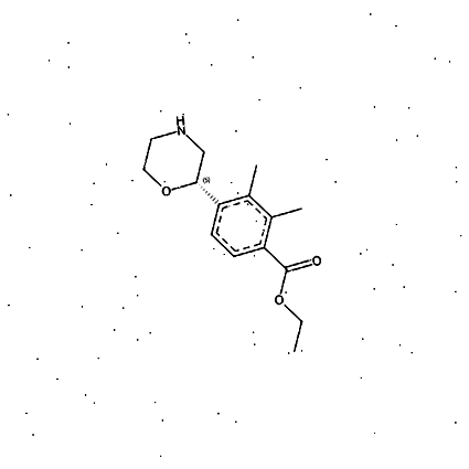 CCOC(=O)c1ccc([C@H]2CNCCO2)c(C)c1C